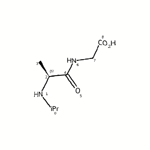 CC(C)N[C@@H](C)C(=O)NCC(=O)O